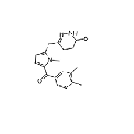 Cc1ccc(C(=O)c2ccc(Cc3ccc(=O)[nH]n3)n2C)cc1C